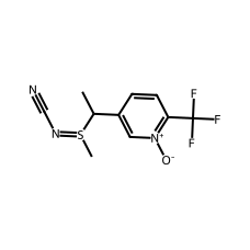 CC(c1ccc(C(F)(F)F)[n+]([O-])c1)/S(C)=N\C#N